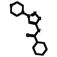 O=C([N-]c1c[n+](N2CCSCC2)no1)C1CCCCC1